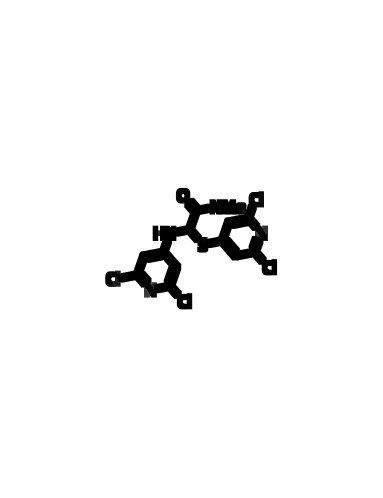 CNC(=O)C(Nc1cc(Cl)nc(Cl)c1)Sc1cc(Cl)nc(Cl)c1